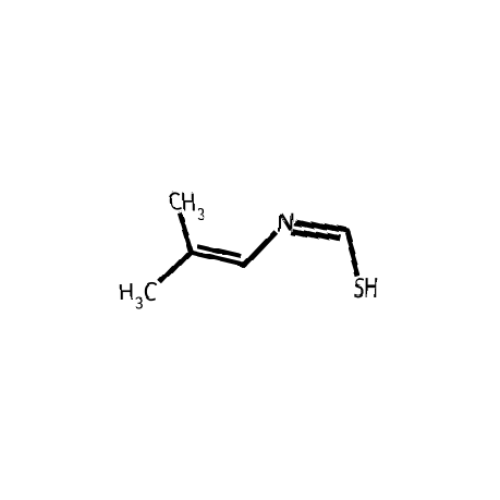 CC(C)=C/N=C\S